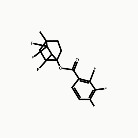 Cc1ccc(C(=O)OC23CCC(C)(CC2)C(F)(F)C3F)c(F)c1F